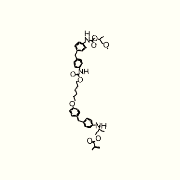 C=C(C)C(=O)OCC(C)Nc1ccc(Cc2ccc(OCCCCCCOC(=O)Nc3ccc(Cc4ccc(NC(=O)OC(C)COC)cc4)cc3)cc2)cc1